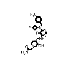 C[C@]1(O)CN(CC(N)=O)CC[C@H]1CNc1ncnc(N(Cc2ccc(C(F)(F)F)cc2)[C@H]2C[C@@H](F)C2)c1F